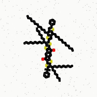 CCCCCCCCCCCCc1c2cc(-c3sc4c(sc5c6cc7c(=O)c8c9sc(C(C)(C)c%10ccccc%10)c(C(CCCCCCC)CCCCCCCCC)c9sc8c7cc6c(=O)c45)c3C(CCCCCCC)CCCCCCCCC)sc2c(CCCCCCCCCCCC)c2cc(-c3ccccc3)sc12